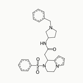 O=C(CC1c2cccn2CCN1S(=O)(=O)c1ccccc1)NC1CCN(Cc2ccccc2)C1